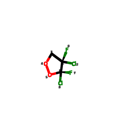 F[C@]1(Cl)COO[C@@]1(F)Cl